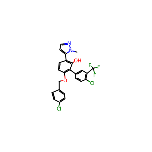 Cn1nccc1-c1ccc(OCc2ccc(Cl)cc2)c(-c2ccc(Cl)c(C(F)(F)F)c2)c1O